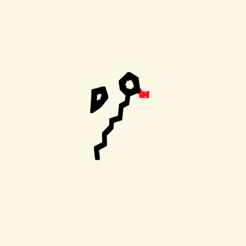 CCCCCCCCCc1ccccc1O.c1cc2cc-2c1